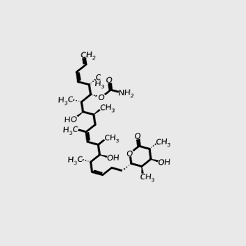 C=C/C=C\[C@H](C)[C@H](OC(N)=O)[C@@H](C)[C@H](O)[C@@H](C)C/C(C)=C\C(C)[C@@H](O)[C@@H](C)/C=C\CC[C@@H]1OC(=O)[C@H](C)[C@@H](O)[C@H]1C